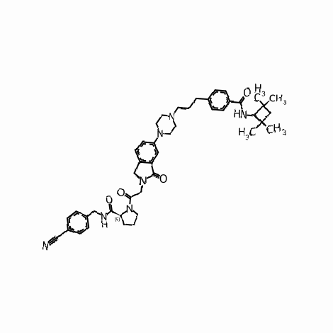 CC1(C)CC(C)(C)C1NC(=O)c1ccc(CCCN2CCN(c3ccc4c(c3)C(=O)N(CC(=O)N3CCC[C@H]3C(=O)NCc3ccc(C#N)cc3)C4)CC2)cc1